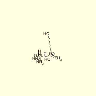 CCOP(=O)(CC[C@@H](CO)NCC1CNc2c1nc(N)[nH]c2=O)OCCCCCCCCCCCO